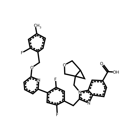 Cc1ccc(COc2cccc(-c3cc(F)c(Cc4nc5ccc(C(=O)O)cc5n4CC45COCC4C5)cc3F)n2)c(F)c1